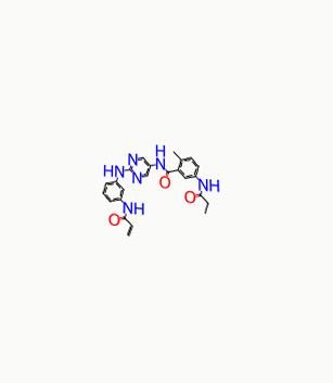 C=CC(=O)Nc1cccc(Nc2ncc(NC(=O)c3cc(NC(=O)CC)ccc3C)cn2)c1